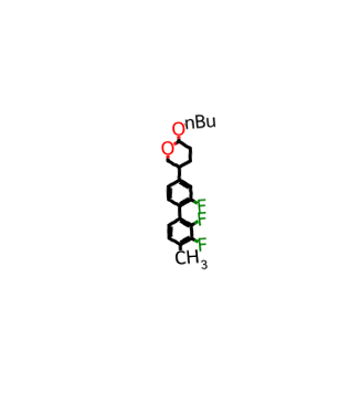 CCCCOC1CCC(c2ccc(-c3ccc(C)c(F)c3F)c(F)c2)CO1